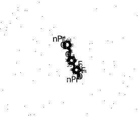 CCCOc1ccc(-c2ccc(OCC3CCC(CCC)OC3)cc2)c(F)c1F